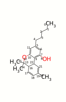 CCCCCc1cc(O)c2c(c1)OC(C)(C)C1C=CC(C)=CC21